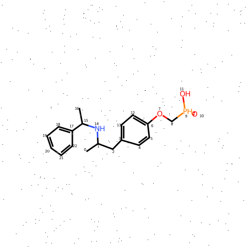 CC(Cc1ccc(OC[PH](=O)O)cc1)NC(C)c1ccccc1